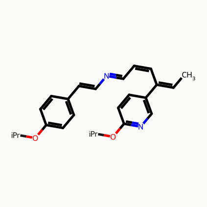 C\C=C(/C=C\C=N\C=C\c1ccc(OC(C)C)cc1)c1ccc(OC(C)C)nc1